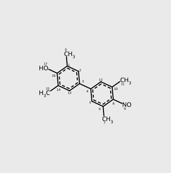 Cc1cc(-c2cc(C)c(N=O)c(C)c2)cc(C)c1O